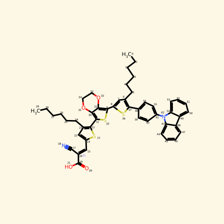 CCCCCCc1cc(-c2sc(-c3sc(/C=C(\C#N)C(=O)O)cc3CCCCCC)c3c2OCCO3)sc1-c1ccc(-n2c3ccccc3c3ccccc32)cc1